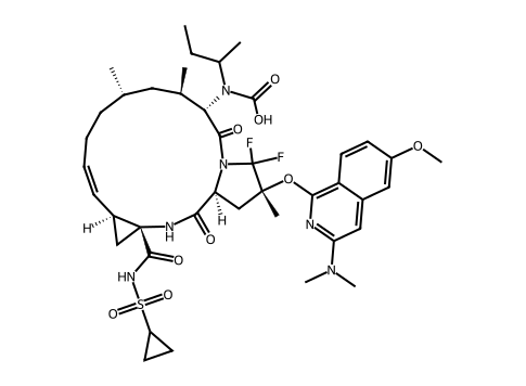 CCC(C)N(C(=O)O)[C@@H]1C(=O)N2[C@@H](C[C@@](C)(Oc3nc(N(C)C)cc4cc(OC)ccc34)C2(F)F)C(=O)N[C@]2(C(=O)NS(=O)(=O)C3CC3)C[C@H]2/C=C\CC[C@H](C)C[C@H]1C